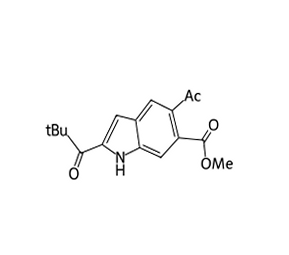 COC(=O)c1cc2[nH]c(C(=O)C(C)(C)C)cc2cc1C(C)=O